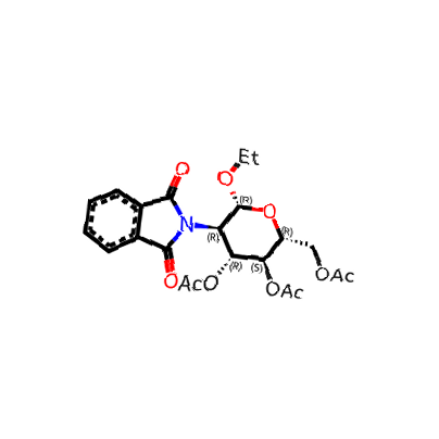 CCO[C@@H]1O[C@H](COC(C)=O)[C@@H](OC(C)=O)[C@H](OC(C)=O)[C@H]1N1C(=O)c2ccccc2C1=O